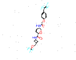 O=C(COc1ccc(C(F)(F)F)cc1)N[C@H]1CC[C@H](C(=O)NC2CC(COC(F)(F)F)C2)OC1